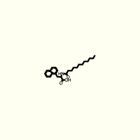 CCCCCCCCCCCC(=O)NC(Cc1cccc2ccccc12)C(=O)O